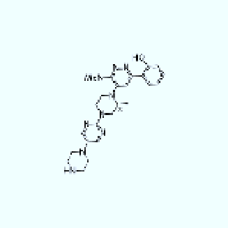 CNc1nnc(-c2ccccc2O)cc1N1CCN(c2ncc(N3CCNCC3)cn2)C[C@@H]1C